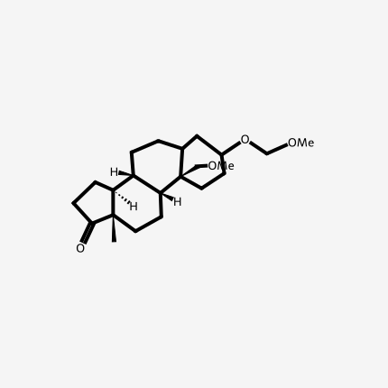 COCOC1CC[C@@]2(COC)C(CC[C@@H]3[C@H]2CC[C@]2(C)C(=O)CC[C@@H]32)C1